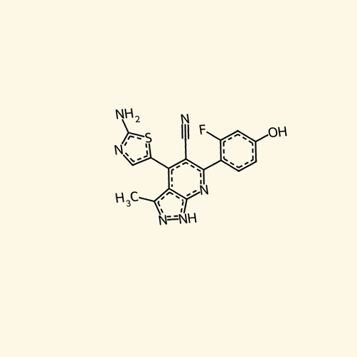 Cc1n[nH]c2nc(-c3ccc(O)cc3F)c(C#N)c(-c3cnc(N)s3)c12